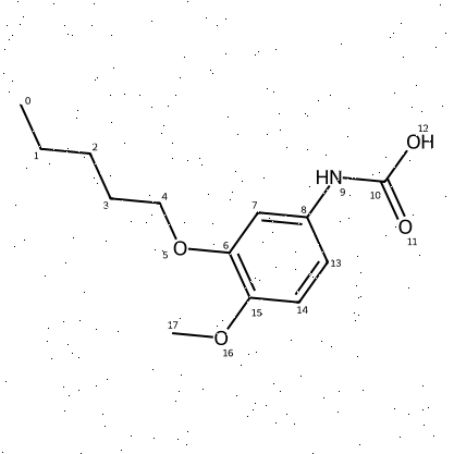 CCCCCOc1cc(NC(=O)O)ccc1OC